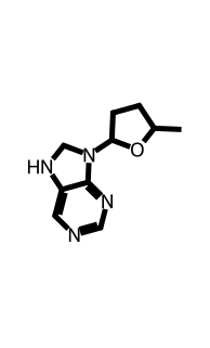 CC1CCC(N2CNc3cncnc32)O1